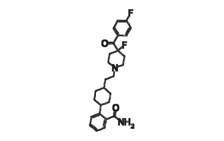 NC(=O)c1ccccc1C1CCC(CCN2CCC(F)(C(=O)c3ccc(F)cc3)CC2)CC1